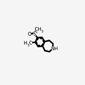 Cc1cc2c(cc1[S+](C)[O-])CCNCC2